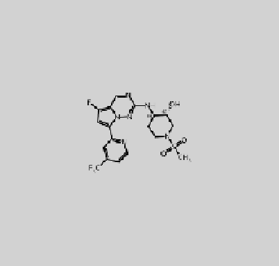 CS(=O)(=O)N1CC[C@@H](Nc2ncc3c(F)cc(-c4cc(C(F)(F)F)ccn4)n3n2)[C@H](O)C1